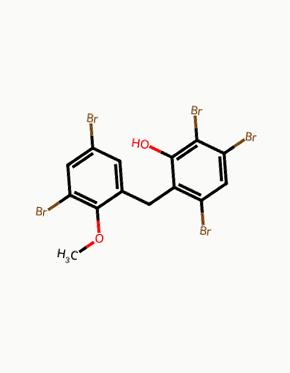 COc1c(Br)cc(Br)cc1Cc1c(Br)cc(Br)c(Br)c1O